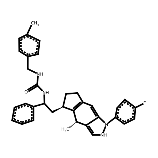 Cc1ccc(CNC(=O)NC(C[C@H]2CCC3=C2[C@@H](C)C2=CNN(c4ccc(F)cc4)C2=C3)c2ccccc2)cc1